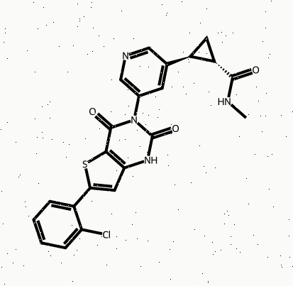 CNC(=O)[C@H]1C[C@@H]1c1cncc(-n2c(=O)[nH]c3cc(-c4ccccc4Cl)sc3c2=O)c1